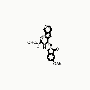 COc1ccc2c(c1)C(=O)N(C[C@H](NC(=O)NC=O)c1cc3ccncc3[nH]1)C2